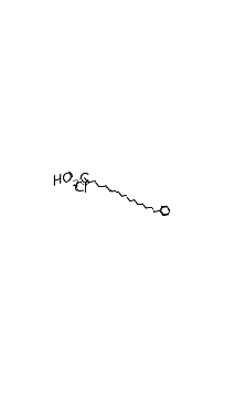 O=C(O)C(Cl)CCCCCCCCCCCCCCc1ccccc1